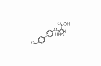 O=Cc1ccc(-c2ccc(Oc3[nH]nnc3C(=O)O)cc2)cc1